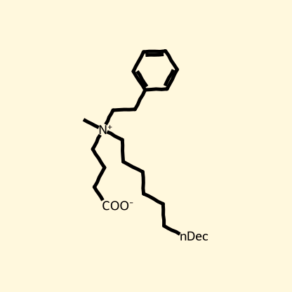 CCCCCCCCCCCCCCCC[N+](C)(CCCC(=O)[O-])CCc1ccccc1